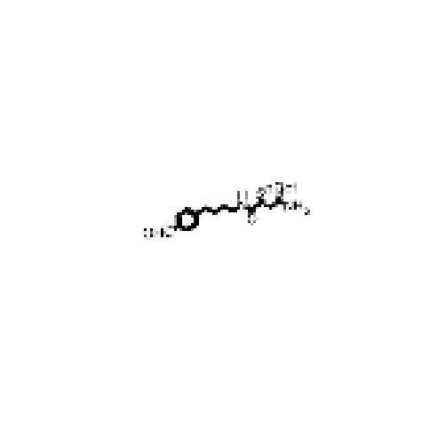 CCCCCCCCS[C@@H](CC(N)=O)C(=O)NCCCCc1ccc(C=O)cc1